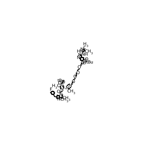 Cc1n[nH]c(Nc2ncnc3cc(OCCOCCOCCOCCOCCN4CCN(C[C@H]5CN(C(=O)OC(C)(C)C)[C@H](C)CN5CC(=O)N5CC(C)(C)c6ncc(Cc7ccc(F)cc7)cc65)C(C)C4)c(S(=O)(=O)C(C)(C)C)cc23)c1C